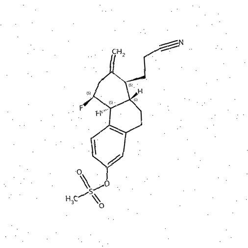 C=C1C[C@H](F)[C@@H]2c3ccc(OS(C)(=O)=O)cc3CC[C@H]2[C@@H]1CCC#N